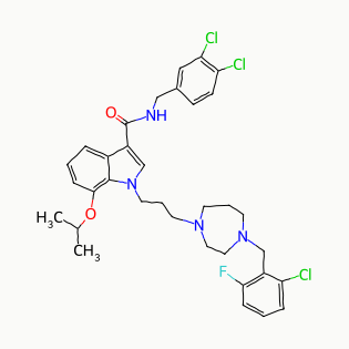 CC(C)Oc1cccc2c(C(=O)NCc3ccc(Cl)c(Cl)c3)cn(CCCN3CCCN(Cc4c(F)cccc4Cl)CC3)c12